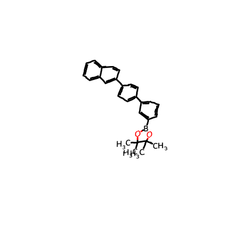 CC1(C)OB(c2cccc(-c3ccc(-c4ccc5ccccc5c4)cc3)c2)OC1(C)C